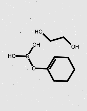 OB(O)OC1=CCCCC1.OCCO